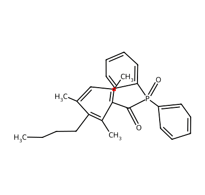 CCCCc1c(C)cc(C)c(C(=O)P(=O)(c2ccccc2)c2ccccc2)c1C